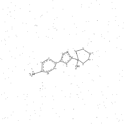 O=[N+]([O-])c1ccc(-c2cnc(C3(O)CCOCC3)s2)cc1